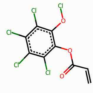 C=CC(=O)Oc1c(Cl)c(Cl)c(Cl)c(Cl)c1OCl